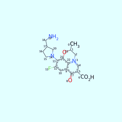 CC1Cn2cc(C(=O)O)c(=O)c3cc(F)c(N4CCC(CN)C4)c(c32)O1